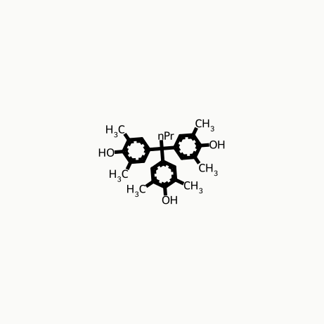 CCCC(c1cc(C)c(O)c(C)c1)(c1cc(C)c(O)c(C)c1)c1cc(C)c(O)c(C)c1